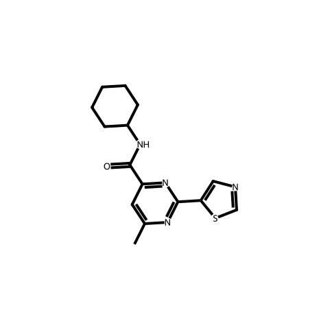 Cc1cc(C(=O)NC2CCCCC2)nc(-c2cncs2)n1